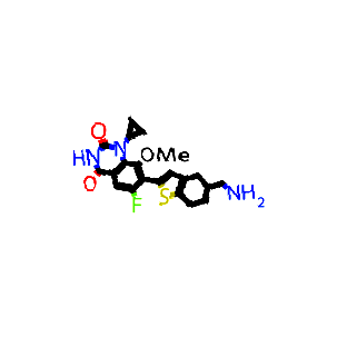 COc1c(-c2cc3c(s2)CCC(CN)C3)c(F)cc2c(=O)[nH]c(=O)n(C3CC3)c12